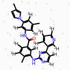 [2H]c1nc(Nc2c([2H])c(C(=O)Nc3c([2H])c(C)c([2H])c(-n4ccc(C)c4)c3[2H])c([2H])c([2H])c2C)nc(-c2c([2H])nc([2H])c([2H])c2[2H])c1[2H]